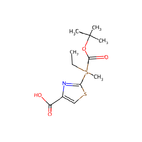 CCS(C)(C(=O)OC(C)(C)C)c1nc(C(=O)O)cs1